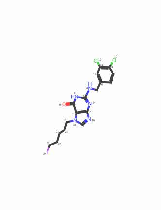 O=c1[nH]c(NCc2ccc(Cl)c(Cl)c2)nc2ncn(CCCCCI)c12